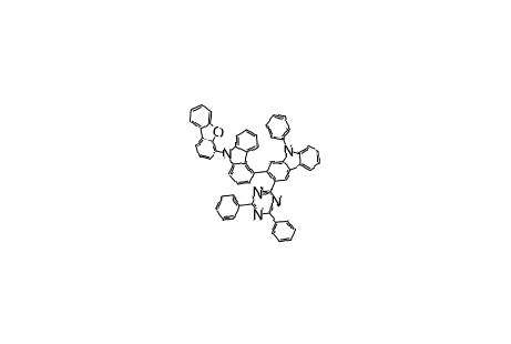 c1ccc(-c2nc(-c3ccccc3)nc(-c3cc4c5ccccc5n(-c5ccccc5)c4cc3-c3cccc4c3c3ccccc3n4-c3cccc4c3oc3ccccc34)n2)cc1